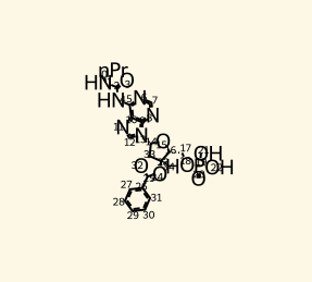 CCCNC(=O)Nc1ncnc2c1ncn2[C@@H]1O[C@H](COP(=O)(O)O)[C@@H]2OC(c3ccccc3)OC21